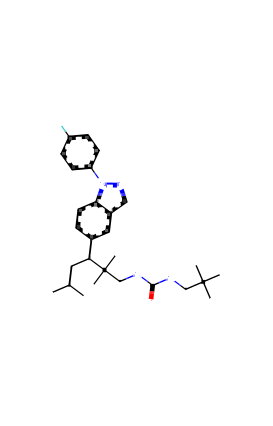 CC(C)CC(c1ccc2c(cnn2-c2ccc(F)cc2)c1)C(C)(C)CNC(=O)NCC(C)(C)C